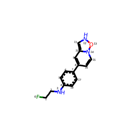 FCCNc1ccc(C2=CC3=CNON3C=C2)cc1